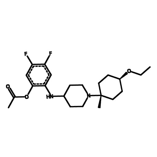 CCO[C@H]1CC[C@](C)(N2CCC(Nc3cc(F)c(F)cc3OC(C)=O)CC2)CC1